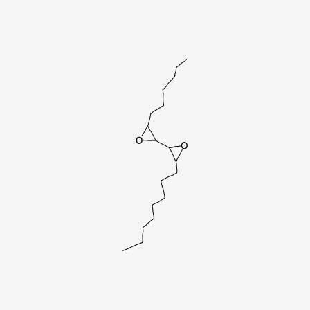 CCCCCCCCC1OC1C1OC1CCCCCC